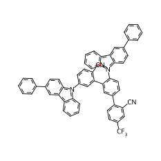 N#Cc1cc(C(F)(F)F)ccc1-c1ccc(-n2c3ccccc3c3cc(-c4ccccc4)ccc32)c(-c2cc(-n3c4ccccc4c4cc(-c5ccccc5)ccc43)ccc2C#N)c1